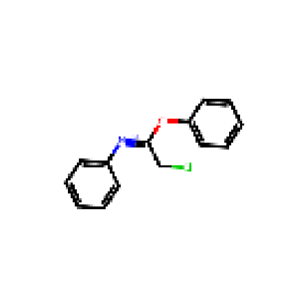 ClC/C(=N\c1ccccc1)Oc1ccccc1